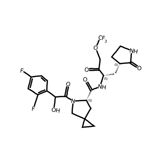 O=C1NCC[C@H]1C[C@H](NC(=O)[C@@H]1CC2(CC2)CN1C(=O)C(O)c1ccc(F)cc1F)C(=O)COC(F)(F)F